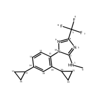 CNc1nc(C(F)(F)F)nn1-c1ccc(C2CC2)cc1C1CC1